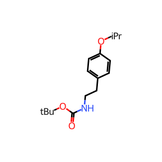 CC(C)Oc1ccc(CCNC(=O)OC(C)(C)C)cc1